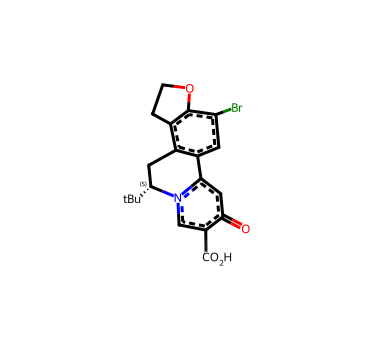 CC(C)(C)[C@@H]1Cc2c(cc(Br)c3c2CCO3)-c2cc(=O)c(C(=O)O)cn21